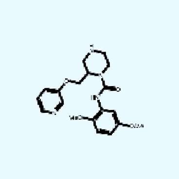 COc1ccc(OC)c(NC(=O)N2CCNCC2COc2cccnc2)c1